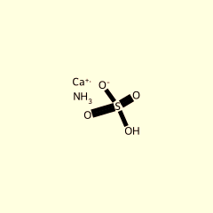 N.O=S(=O)([O-])O.[Ca+]